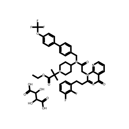 CCOC(=O)C(C)(C)N1CCC(N(Cc2ccc(-c3ccc(OC(F)(F)F)cc3)cc2)C(=O)Cn2c(CCc3cccc(F)c3F)nc(=O)c3cccnc32)CC1.O=C(O)C(O)C(O)C(=O)O